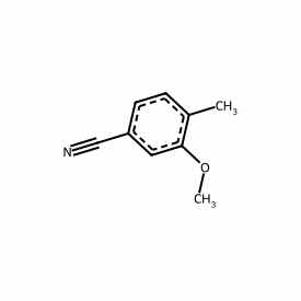 COc1cc(C#N)ccc1C